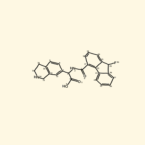 O=C(NC(C(=O)O)c1ccc2c(c1)CNCC2)c1cccc2c1-c1ccccc1C2F